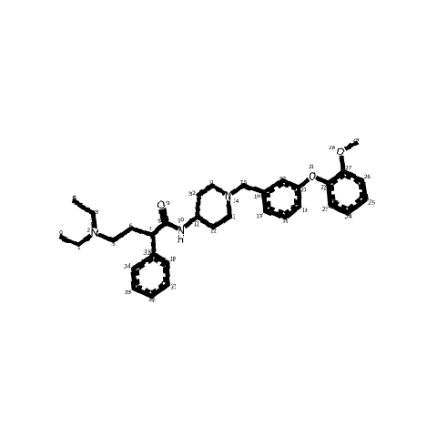 CCN(CC)CCC(C(=O)NC1CCN(Cc2cccc(Oc3ccccc3OC)c2)CC1)c1ccccc1